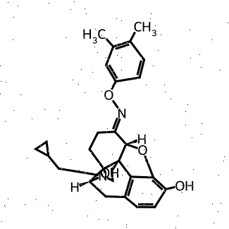 Cc1ccc(ON=C2CCC3(O)[C@H]4Cc5ccc(O)c6c5[C@@]3(CCN4CC3CC3)[C@H]2O6)cc1C